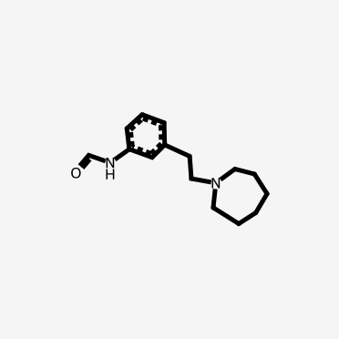 O=CNc1cccc(CCN2CCCCCC2)c1